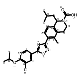 Cc1c(-c2noc(-c3cnc(OC(C)C)c(Cl)c3)n2)ccc2c1CCN(C(=O)O)C2CC(C)C